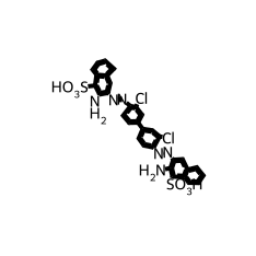 Nc1c(/N=N/c2ccc(-c3ccc(/N=N/c4cc5ccccc5c(S(=O)(=O)O)c4N)c(Cl)c3)cc2Cl)cc2ccccc2c1S(=O)(=O)O